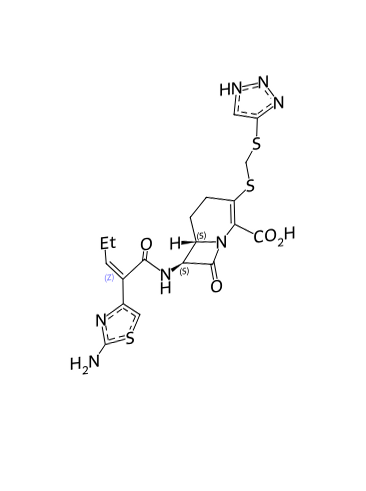 CC/C=C(\C(=O)N[C@@H]1C(=O)N2C(C(=O)O)=C(SCSc3c[nH]nn3)CC[C@@H]12)c1csc(N)n1